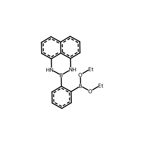 CCOB(OCC)c1ccccc1B1Nc2cccc3cccc(c23)N1